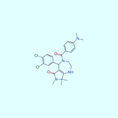 CN(C)c1ccc(C(=O)N2CCNC3=C(C(=O)N(C)C3(C)C)C2c2ccc(Cl)c(Cl)c2)cc1